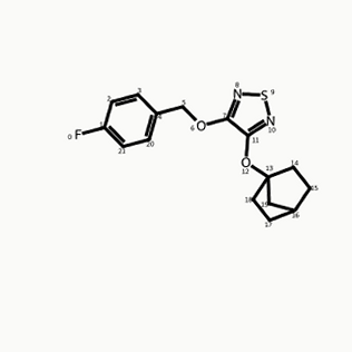 Fc1ccc(COc2nsnc2OC23CCC(CC2)C3)cc1